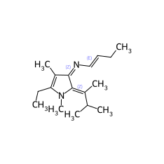 CC/C=C/N=C1/C(C)=C(CC)N(C)/C1=C(/C)C(C)C